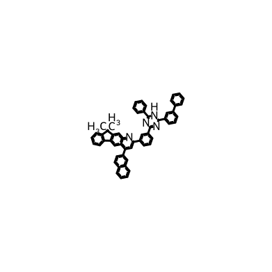 CC1(C)c2ccccc2-c2cc3c(-c4ccc5ccccc5c4)cc(-c4cccc(C5=NC(c6cccc(-c7ccccc7)c6)NC(c6ccccc6)=N5)c4)nc3cc21